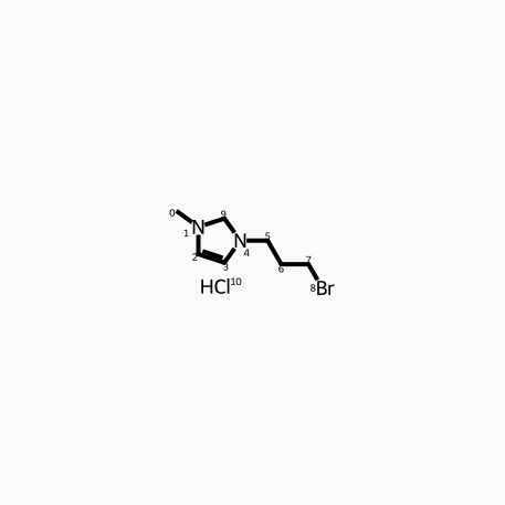 CN1C=CN(CCCBr)C1.Cl